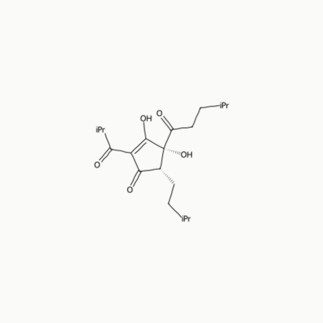 CC(C)CCC(=O)[C@]1(O)C(O)=C(C(=O)C(C)C)C(=O)[C@H]1CCC(C)C